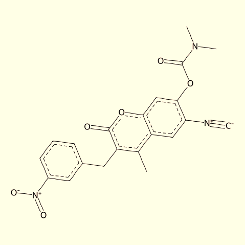 [C-]#[N+]c1cc2c(C)c(Cc3cccc([N+](=O)[O-])c3)c(=O)oc2cc1OC(=O)N(C)C